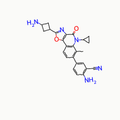 Cc1c(-c2ccc(N)c(C#N)c2)ccc2c3oc(C4CC(N)C4)nc3c(=O)n(C3CC3)c12